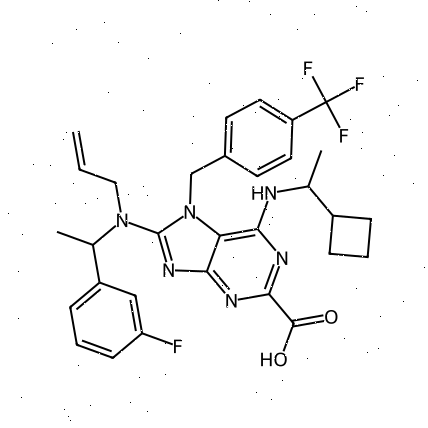 C=CCN(c1nc2nc(C(=O)O)nc(NC(C)C3CCC3)c2n1Cc1ccc(C(F)(F)F)cc1)C(C)c1cccc(F)c1